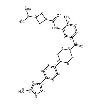 CCCCC(C)N1CC(C(=O)Nc2cc(C(=O)N3CCC(c4ccc(-c5cnn(C)c5)cc4)CC3)ccc2C)C1